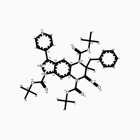 CC(C)(C)OC(=O)N1C(=C=O)C(C)(Cc2ccccc2)N(C(=O)OC(C)(C)C)c2cc3c(-c4ccncc4)nn(C(=O)OC(C)(C)C)c3cc21